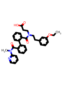 CCOc1cccc(CCN(CCC(=O)O)C(=O)c2ccccc2-c2ccccc2C(=O)N(C)c2ccccn2)c1